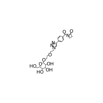 O=C1CCN1C(=O)c1ccc(-c2cn(CCOCCOC3OC(CO)C(O)C(O)C3O)nn2)cc1